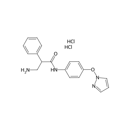 Cl.Cl.NCC(C(=O)Nc1ccc(On2cccn2)cc1)c1ccccc1